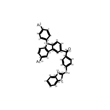 CC(=O)c1ccc(-n2c3ccc(C(C)=O)cc3c3cc(C(=O)c4ccc(Sc5nc6ccccc6s5)cc4)ccc32)cc1